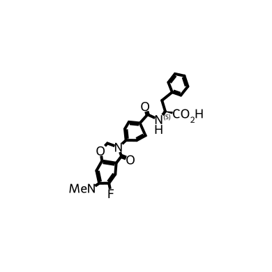 CNc1cc2c(cc1F)C(=O)N(c1ccc(C(=O)N[C@@H](Cc3ccccc3)C(=O)O)cc1)CO2